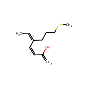 C=C(O)/C=C\C(=C/C)CCCSC